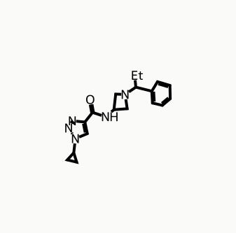 CCC(c1ccccc1)N1CC(NC(=O)c2cn(C3CC3)nn2)C1